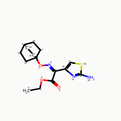 CCOC(=O)C(=NOC12CCC(CC1)CC2)c1csc(N)n1